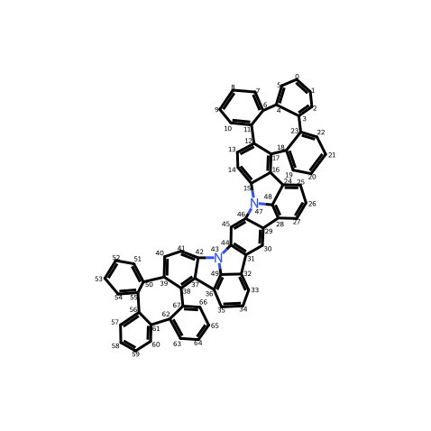 c1ccc2c(c1)-c1ccccc1-c1ccc3c(c1-c1ccccc1-2)c1cccc2c4cc5c6cccc7c8c9c(ccc8n(c5cc4n3c21)c67)-c1ccccc1-c1ccccc1-c1ccccc1-9